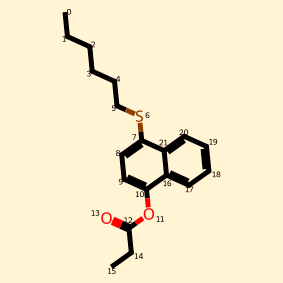 CCCCCCSc1ccc(OC(=O)CC)c2ccccc12